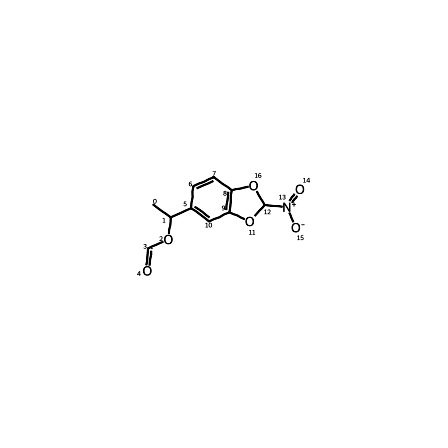 CC(O[C]=O)c1ccc2c(c1)OC([N+](=O)[O-])O2